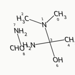 CN(C)C(C)(N)O.NC=O